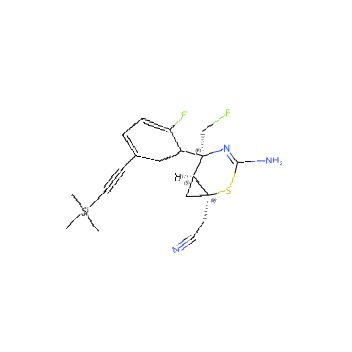 C[Si](C)(C)C#CC1=CC=C(F)C([C@@]2(CF)N=C(N)S[C@@]3(CC#N)C[C@H]32)C1